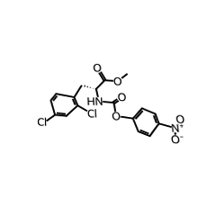 COC(=O)[C@@H](Cc1ccc(Cl)cc1Cl)NC(=O)Oc1ccc([N+](=O)[O-])cc1